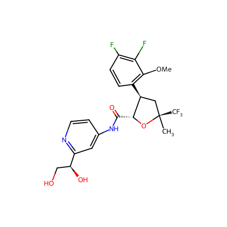 COc1c([C@H]2C[C@@](C)(C(F)(F)F)O[C@@H]2C(=O)Nc2ccnc([C@@H](O)CO)c2)ccc(F)c1F